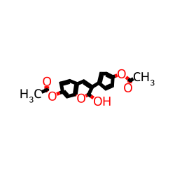 CC(=O)Oc1ccc(C2=Cc3ccc(OC(C)=O)cc3OC2O)cc1